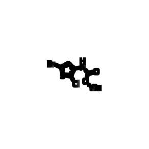 CC(C)(C)OC(=O)Nc1cc(Br)sc1Cl